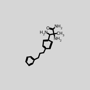 CC(N)(C(N)=O)C(N)c1ccc(CCCc2ccccc2)cc1